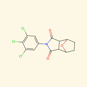 O=C1C2C3CCC(O3)C2C(=O)N1c1cc(Cl)c(Cl)c(Cl)c1